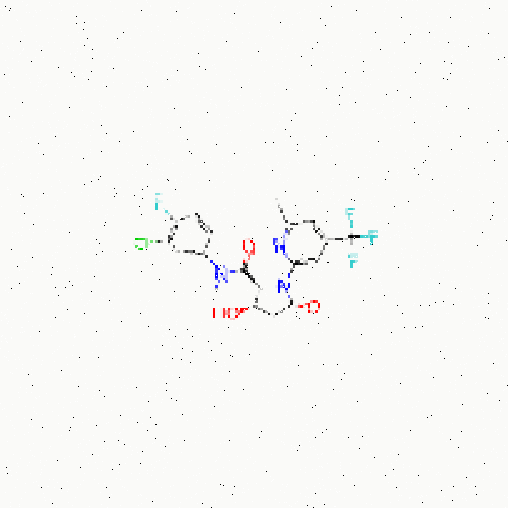 Cc1cc(C(F)(F)F)cc(N2C(=O)C[C@@H](O)[C@H]2C(=O)N(C)c2ccc(F)c(Cl)c2)n1